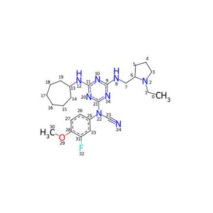 CCN1CCCC1CNc1nc(NC2CCCCCC2)nc(N(C#N)c2ccc(OC)c(F)c2)n1